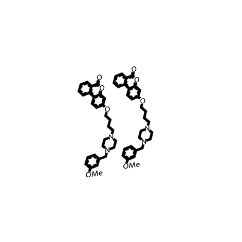 COc1cccc(CN2CCN(CCCCOc3ccc4c(c3)oc(=O)c3ccccc34)CC2)c1.COc1cccc(CN2CCN(CCCCOc3ccc4c(c3)oc(=O)c3ccccc34)CC2)c1